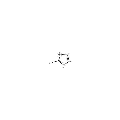 Ic1n[c]c[nH]1